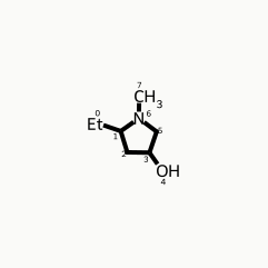 CCC1CC(O)CN1C